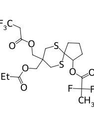 CCC(=O)OCC1(COC(=O)CC(F)(F)F)CSC2(CCCC2OC(=O)C(C)(F)F)SC1